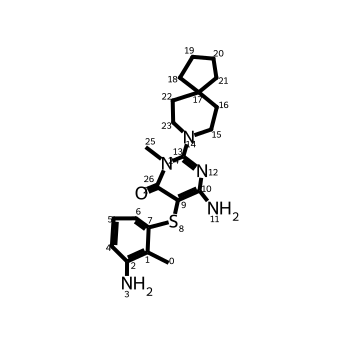 Cc1c(N)cccc1Sc1c(N)nc(N2CCC3(CCCC3)CC2)n(C)c1=O